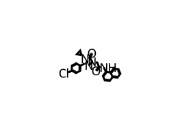 O=C(Cn1nc(-c2ccc(Cl)cc2)n(C2CC2)c1=O)Nc1cccc2ccccc12